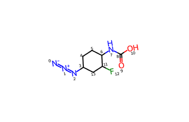 [N-]=[N+]=NC1CCC(NC(=O)O)C(F)C1